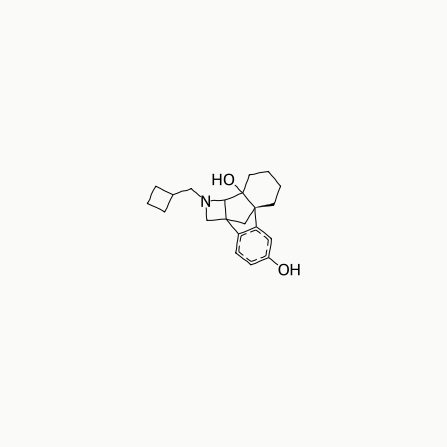 Oc1ccc2c(c1)[C@@]13CCCCC1(O)C1N(CC4CCC4)CC21C3